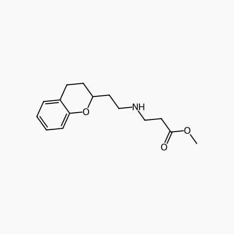 COC(=O)CCNCCC1CCc2ccccc2O1